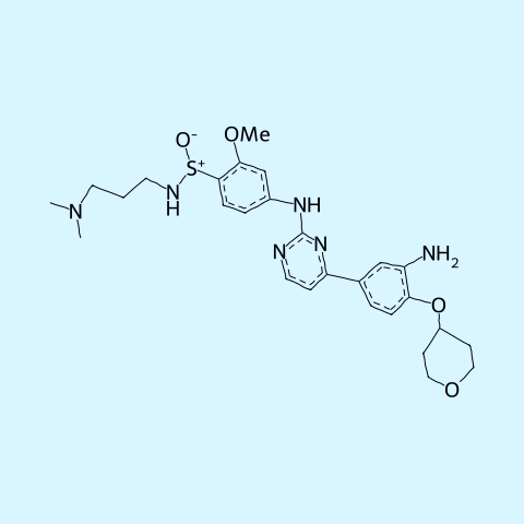 COc1cc(Nc2nccc(-c3ccc(OC4CCOCC4)c(N)c3)n2)ccc1[S+]([O-])NCCCN(C)C